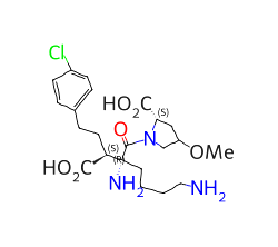 COC1C[C@@H](C(=O)O)N(C(=O)[C@@](N)(CCCCN)[C@H](CCc2ccc(Cl)cc2)C(=O)O)C1